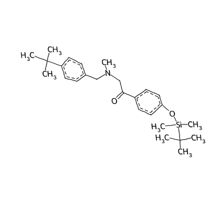 CN(CC(=O)c1ccc(O[Si](C)(C)C(C)(C)C)cc1)Cc1ccc(C(C)(C)C)cc1